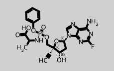 C#C[C@]1(CO[P@@](=O)(NC(C)C(=O)O)Oc2ccccc2)O[C@@H](n2cnc3c(N)nc(F)nc32)C[C@@H]1O